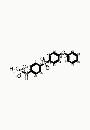 CS(=O)(=O)Nc1ccc(S(=O)(=O)c2ccc(Oc3ccccc3)cc2)cc1